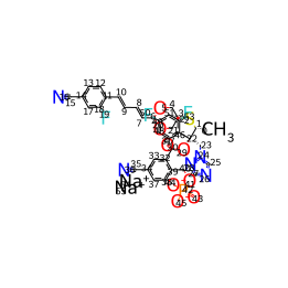 C[C@@H](SC1COC(C=CC=Cc2ccc(C#N)cc2F)OC1)[C@@](Cn1cncn1)(OC(=O)c1cc(C#N)ccc1COP(=O)([O-])[O-])c1ccc(F)cc1F.[Na+].[Na+]